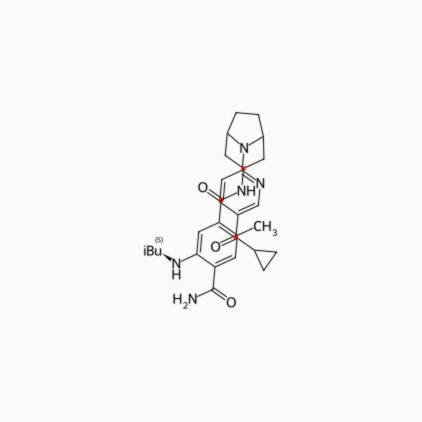 CC[C@H](C)Nc1cc(C(=O)NC2CC3CCC(C2)N3c2ccc(C(=O)C3CC3)cn2)c(C)cc1C(N)=O